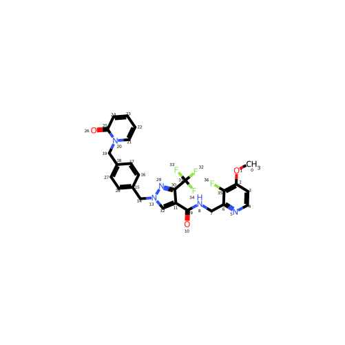 COc1ccnc(CNC(=O)c2cn(Cc3ccc(Cn4ccccc4=O)cc3)nc2C(F)(F)F)c1F